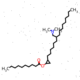 CCCCCCCCCC(=O)OC1CC1CCCCCCC(CCCCCCCCC)CN(C)C